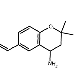 C=Cc1ccc2c(c1)C(N)CC(C)(C)O2